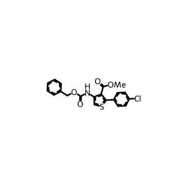 COC(=O)c1c(NC(=O)OCc2ccccc2)csc1-c1ccc(Cl)cc1